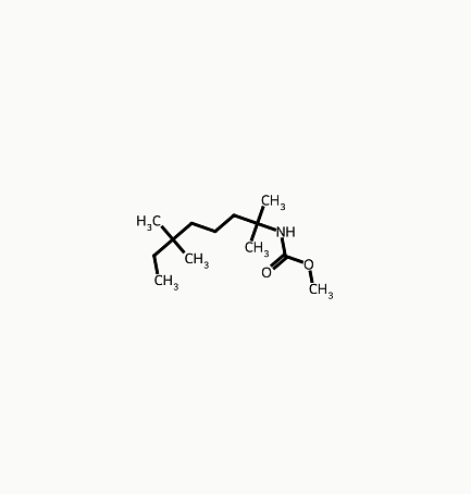 CCC(C)(C)CCCC(C)(C)NC(=O)OC